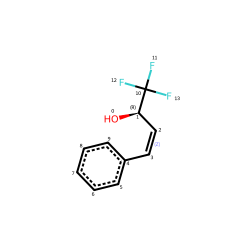 O[C@H](/C=C\c1ccccc1)C(F)(F)F